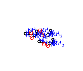 CCCc1nc2c(N)nc3ccccc3c2n1CCCCC1CN(C(N)=O)CCO1.COCCc1nc2c(N)nc3ccccc3c2n1CCCCNC(=O)c1cnc2ccccc2c1.COCCc1nc2c(N)nc3ccccc3c2n1CCCCc1nc2ccccc2nc1C(N)=O